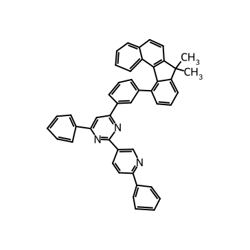 CC1(C)c2cccc(-c3cccc(-c4cc(-c5ccccc5)nc(-c5ccc(-c6ccccc6)nc5)n4)c3)c2-c2c1ccc1ccccc21